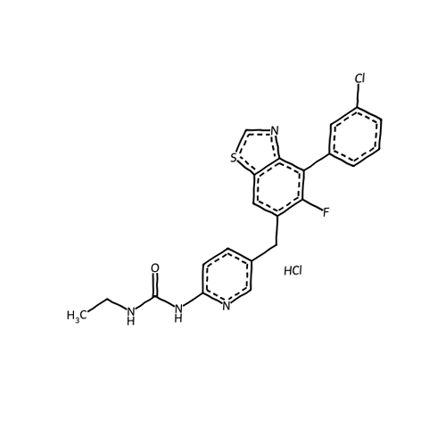 CCNC(=O)Nc1ccc(Cc2cc3scnc3c(-c3cccc(Cl)c3)c2F)cn1.Cl